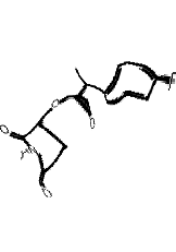 CC(C(=O)OC1CC(=O)NC1=O)c1ccc(F)cc1